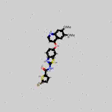 COc1cc2nccc(Oc3ccc4nc(NC(=O)c5ccc(Br)s5)sc4c3)c2cc1OC